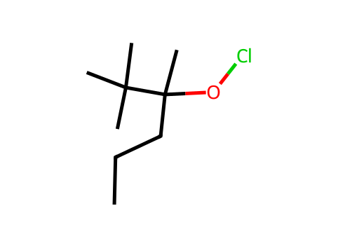 CCCC(C)(OCl)C(C)(C)C